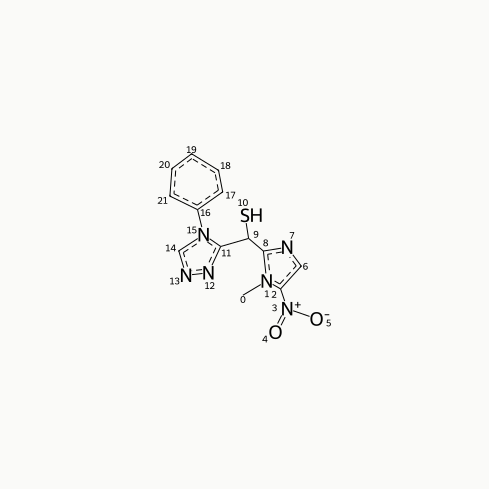 Cn1c([N+](=O)[O-])cnc1C(S)c1nncn1-c1ccccc1